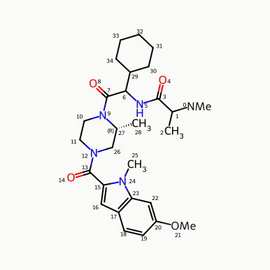 CNC(C)C(=O)NC(C(=O)N1CCN(C(=O)c2cc3ccc(OC)cc3n2C)C[C@H]1C)C1CCCCC1